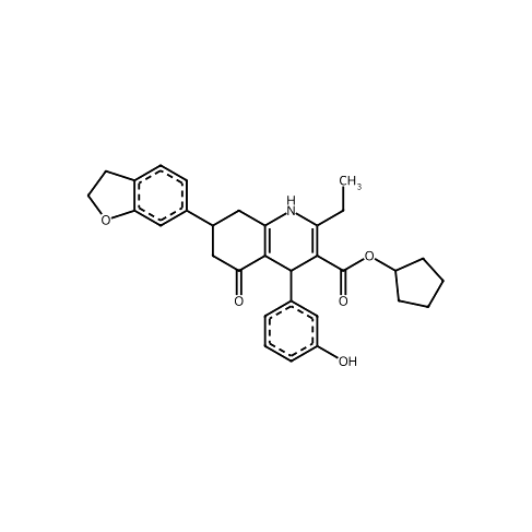 CCC1=C(C(=O)OC2CCCC2)C(c2cccc(O)c2)C2=C(CC(c3ccc4c(c3)OCC4)CC2=O)N1